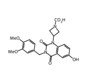 COc1ccc(Cn2c(=O)c3cc(O)ccc3n(C3CN(C(=O)O)C3)c2=O)cc1OC